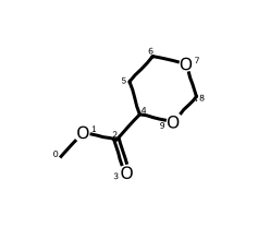 COC(=O)C1CCO[CH]O1